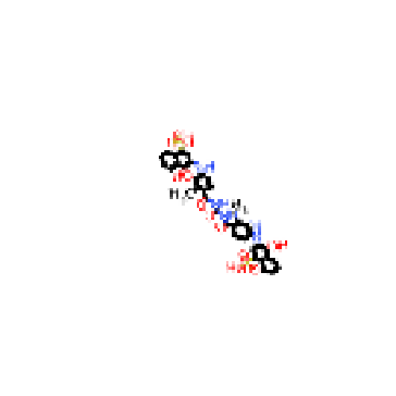 Cc1cc(Nc2cc(S(=O)(=O)O)c3ccccc3c2O)ccc1C(=O)NC(=O)NC(=O)c1ccc(Nc2cc(S(=O)(=O)O)c3ccccc3c2O)cc1C